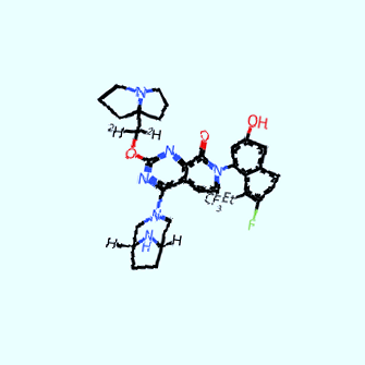 [2H]C([2H])(Oc1nc(N2C[C@H]3CC[C@@H](C2)N3)c2cc(C(F)(F)F)n(-c3cc(O)cc4ccc(F)c(CC)c34)c(=O)c2n1)C12CCCN1CCC2